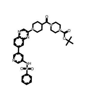 CC(C)(C)OC(=O)N1CCN(C(=O)C2CCN(c3cnc4ccc(-c5cncc(NS(=O)(=O)c6ccccc6)c5)cc4n3)CC2)CC1